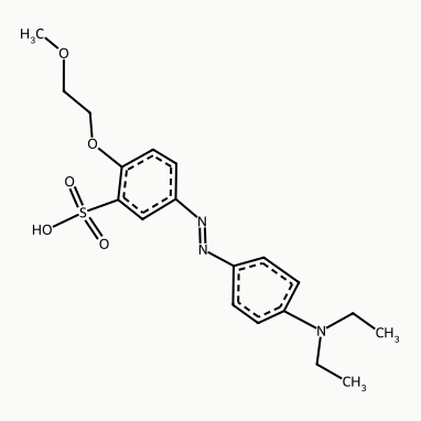 CCN(CC)c1ccc(N=Nc2ccc(OCCOC)c(S(=O)(=O)O)c2)cc1